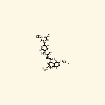 COc1ccc2nc(C)cc(NNC(=O)Nc3ccc(N(CCCl)CCCl)cc3)c2c1